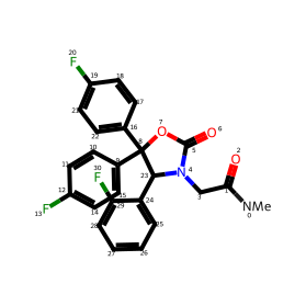 CNC(=O)CN1C(=O)OC(c2ccc(F)cc2)(c2ccc(F)cc2)C1c1ccccc1F